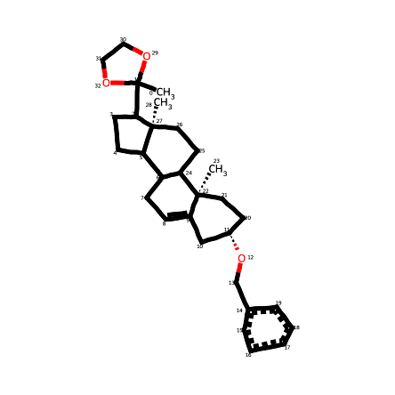 CC1(C2CCC3C4CC=C5C[C@@H](OCc6ccccc6)CC[C@]5(C)C4CC[C@@]32C)OCCO1